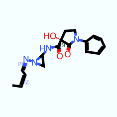 C/C=C\C=N/N1CC1NC(=O)[C@@]1(O)CCN(c2ccccc2)C1=O